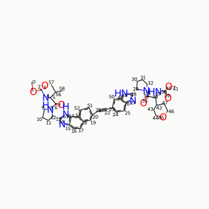 COC(=O)N[C@H](C(=O)N1CCC[C@H]1c1nc2ccc3cc(C#Cc4ccc5nc([C@@H]6CCCN6C(=O)[C@@H](NC(=O)OC)C6CCOCC6)[nH]c5c4)ccc3c2[nH]1)C(C)C